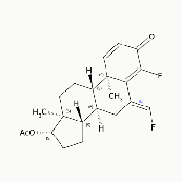 CC(=O)O[C@H]1CC[C@H]2[C@@H]3C/C(=C\F)C4=C(F)C(=O)C=C[C@]4(C)[C@H]3CC[C@]12C